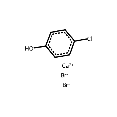 Oc1ccc(Cl)cc1.[Br-].[Br-].[Ca+2]